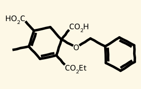 CCOC(=O)C1=CC(C)=C(C(=O)O)CC1(OCc1ccccc1)C(=O)O